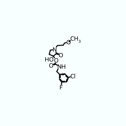 COCCCN1CC[C@](O)(OC(=O)NCc2cc(F)cc(Cl)c2)C1=O